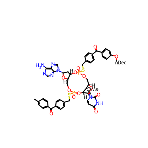 CCCCCCCCCCOc1ccc(C(=O)c2ccc(CSP3(=O)OC[C@H]4O[C@@H](n5ccc(=O)[nH]c5=O)[C@H](OP(=O)(SCc5ccc(C(=O)c6ccc(C)cc6)cc5)OC[C@H]5O[C@@H](n6cnc7c(N)ncnc76)C[C@@H]5O3)[C@@H]4OC)cc2)cc1